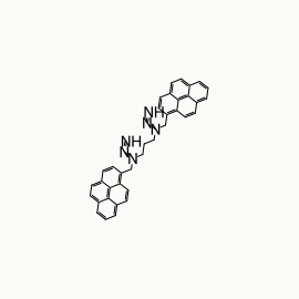 N=NN(CCCN(Cc1ccc2ccc3cccc4ccc1c2c34)N=N)Cc1ccc2ccc3cccc4ccc1c2c34